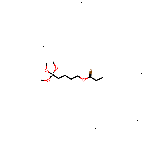 CCC(=S)OCCCC[Si](OC)(OC)OC